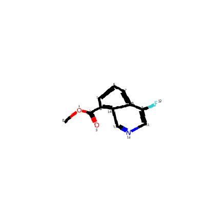 COC(=O)c1cccc2c(F)cncc12